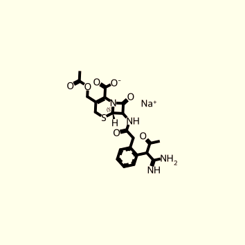 CC(=O)OCC1=C(C(=O)[O-])N2C(=O)C(NC(=O)Cc3ccccc3C(C(=N)N)C(C)=O)[C@@H]2SC1.[Na+]